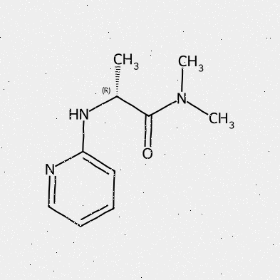 C[C@@H](Nc1ccccn1)C(=O)N(C)C